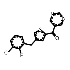 O=C(c1cncnc1)c1cc(Cc2cccc(Cl)c2F)cs1